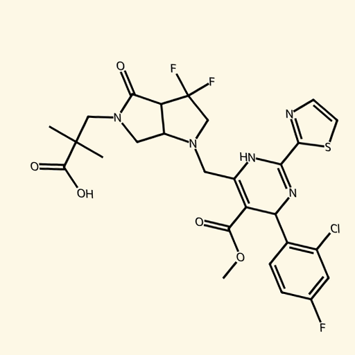 COC(=O)C1=C(CN2CC(F)(F)C3C(=O)N(CC(C)(C)C(=O)O)CC32)NC(c2nccs2)=NC1c1ccc(F)cc1Cl